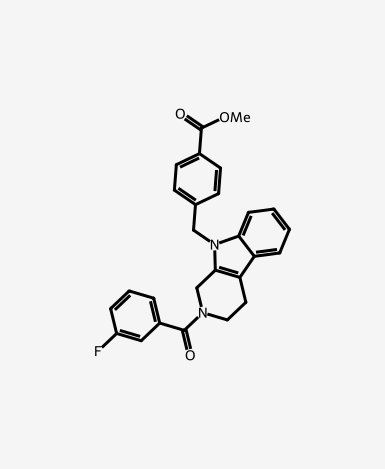 COC(=O)c1ccc(Cn2c3c(c4ccccc42)CCN(C(=O)c2cccc(F)c2)C3)cc1